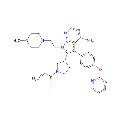 C=CC(=O)N1CCC(c2c(-c3ccc(Oc4ncccn4)cc3)c3c(N)ncnc3n2CCN2CCN(C)CC2)C1